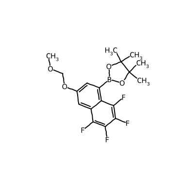 COCOc1cc(B2OC(C)(C)C(C)(C)O2)c2c(F)c(F)c(F)c(F)c2c1